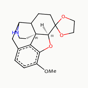 COc1ccc2c3c1O[C@@H]1C4(CCC5C(C2)NCC[C@]351)OCCO4